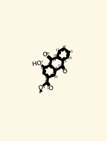 COC(=O)c1cc(O)c2c(c1)C(=O)c1ccccc1C2=O